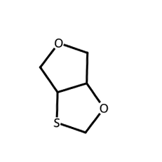 C1OC2COCC2S1